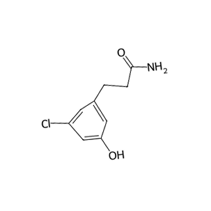 NC(=O)CCc1cc(O)cc(Cl)c1